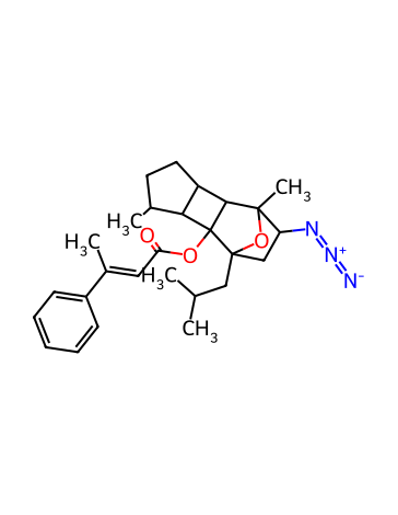 C/C(=C\C(=O)OC12C3C(C)CCC3C1C1(C)OC2(CC(C)C)CC1N=[N+]=[N-])c1ccccc1